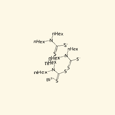 CCCCCCN(CCCCCC)C(=S)[S-].CCCCCCN(CCCCCC)C(=S)[S-].CCCCCCN(CCCCCC)C(=S)[S-].[Bi+3]